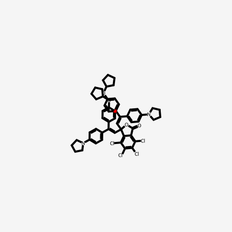 O=C1OC(C=C(c2ccc(OC3CCCC3)cc2)c2ccc(N3CCCC3)cc2)(C=C(c2ccc(OC3CCCC3)cc2)c2ccc(N3CCCC3)cc2)c2c(Cl)c(Cl)c(Cl)c(Cl)c21